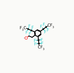 [O]CCc1c(C(F)(F)C(F)(F)C(F)(F)F)cc(C(F)(F)C(F)(F)C(F)(F)F)cc1C(F)(F)C(F)(F)C(F)(F)F